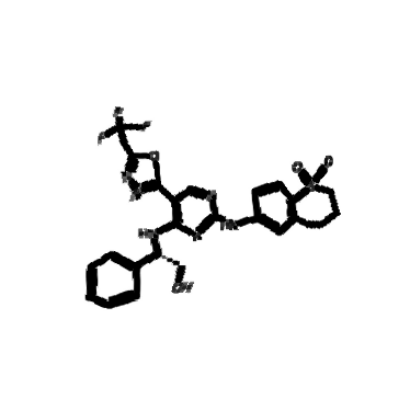 O=S1(=O)CCCc2cc(Nc3ncc(-c4nnc(C(F)(F)F)o4)c(N[C@H](CO)c4ccccc4)n3)ccc21